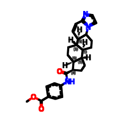 COC(=O)c1ccc(NC(=O)[C@@H]2CC[C@H]3[C@@H]4CCC5[C@H](C=Cc6nccn65)[C@H]4CC[C@@H]32)cc1